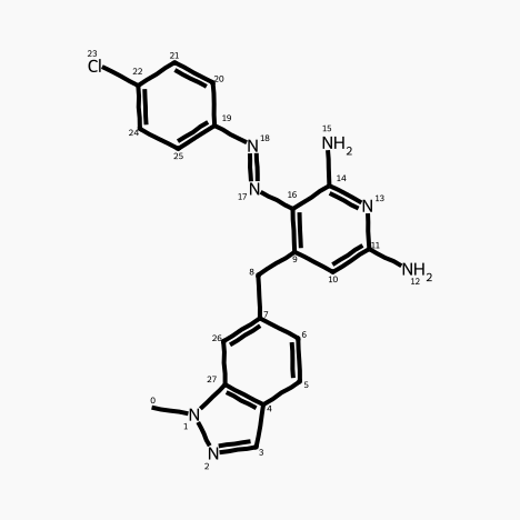 Cn1ncc2ccc(Cc3cc(N)nc(N)c3N=Nc3ccc(Cl)cc3)cc21